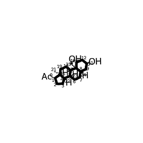 CC(=O)[C@H]1CC[C@H]2[C@@H]3CC[C@H]4C[C@H](O)CC[C@]4(CO)[C@H]3CC[C@]12C